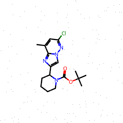 Cc1cc(Cl)nn2cc(C3CCCCN3C(=O)OC(C)(C)C)nc12